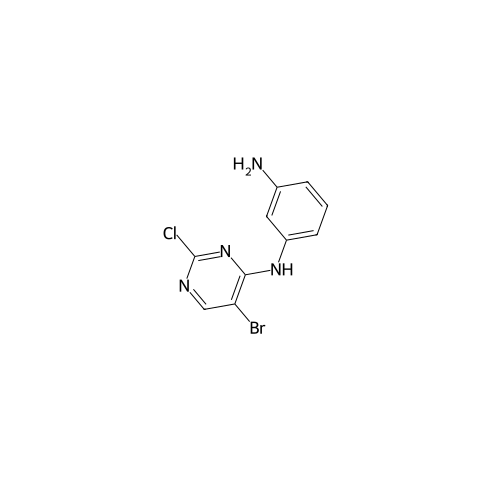 Nc1cccc(Nc2nc(Cl)ncc2Br)c1